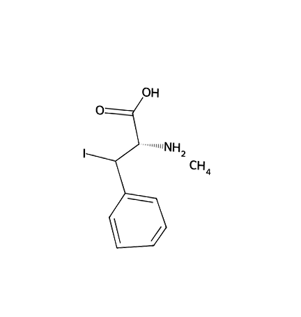 C.N[C@@H](C(=O)O)C(I)c1ccccc1